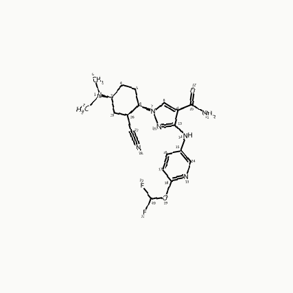 CN(C)[C@H]1CC[C@@H](n2cc(C(N)=O)c(Nc3ccc(OC(F)F)nc3)n2)C(C#N)C1